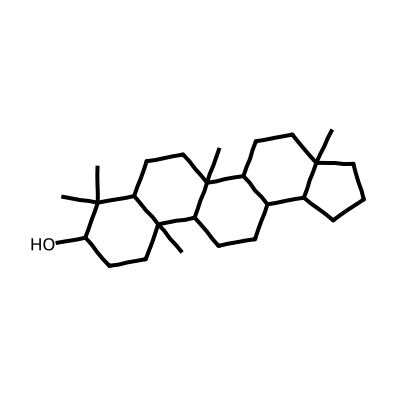 CC12CCCC1C1CCC3C(C)(CCC4C(C)(C)C(O)CCC43C)C1CC2